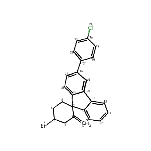 C=C1CC(CC)CCC12c1ccccc1-c1cc(-c3ccc(Cl)cc3)ccc12